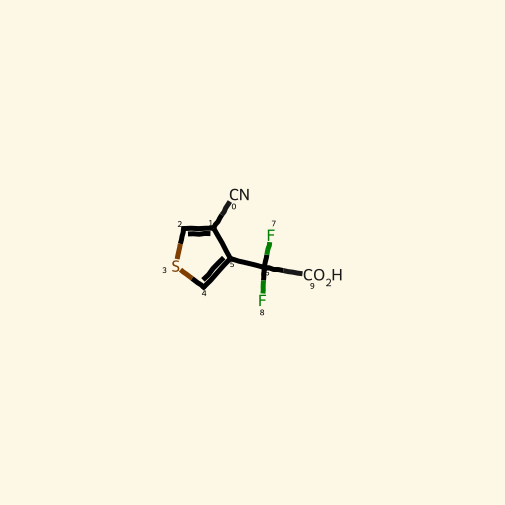 N#Cc1cscc1C(F)(F)C(=O)O